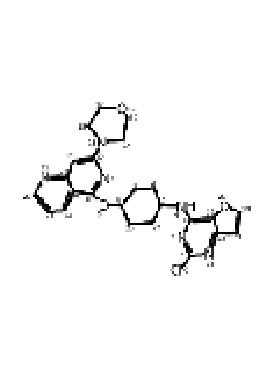 Clc1nc(NC2CCC(Oc3nc(N4CCOCC4)cc4ncccc34)CC2)c2occc2n1